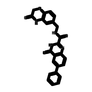 O=C1COc2ccc(CNC(=O)c3nc4ccc(-c5ccccc5)cc4c(=O)[nH]3)cc2N1